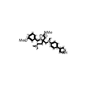 CNCCC(CCN(C)C)(CN(C)c1ccc(-c2cn[nH]c2)cc1)N(C=O)Cc1cccc(OC)c1